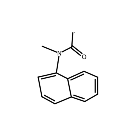 [CH2]C(=O)N(C)c1cccc2ccccc12